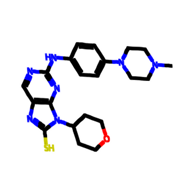 CN1CCN(c2ccc(Nc3ncc4nc(S)n(C5CCOCC5)c4n3)cc2)CC1